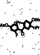 CCCc1cc(C(=O)c2ccc(OC)cc2F)c(CCC)cc1OC